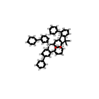 CC1(C)c2ccc(N(c3cccc(-c4ccccc4)c3)c3ccc(-c4ccccc4)cc3-c3ccccc3)cc2-c2c(-c3ccccc3)cccc21